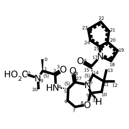 C[C@@H](C(=O)N[C@H]1CCO[C@H]2CC(C)(C)[C@@H](C(=O)n3ccc4ccccc43)N2C1=O)N(C)C(=O)O